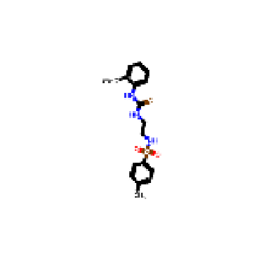 COc1ccccc1NC(=S)NCCNS(=O)(=O)c1ccc(C)cc1